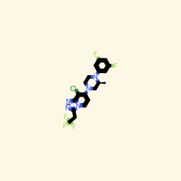 C[C@H]1CN(c2ccn3c(CC(F)(F)F)nnc3c2Cl)CCN1c1cc(F)cc(F)c1